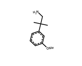 COc1cccc(C(C)(C)CN)c1